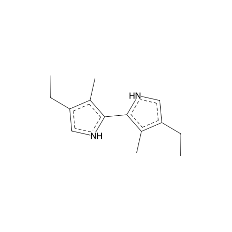 CCc1c[nH]c(-c2[nH]cc(CC)c2C)c1C